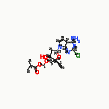 C#C[C@]1(COCOC(=O)C(C)C)O[C@@H](n2ccc3c(N)nc(Cl)nc32)C[C@@H]1O